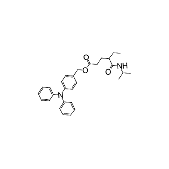 CCC(CCC(=O)OCc1ccc(N(c2ccccc2)c2ccccc2)cc1)C(=O)NC(C)C